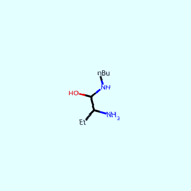 CCCCNC(O)C(N)CC